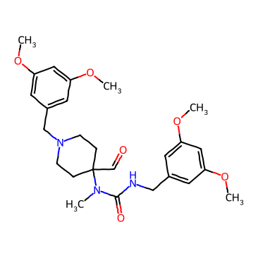 COc1cc(CNC(=O)N(C)C2(C=O)CCN(Cc3cc(OC)cc(OC)c3)CC2)cc(OC)c1